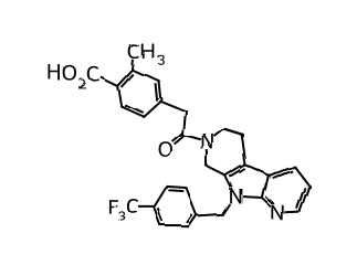 Cc1cc(CC(=O)N2CCc3c(n(Cc4ccc(C(F)(F)F)cc4)c4ncccc34)C2)ccc1C(=O)O